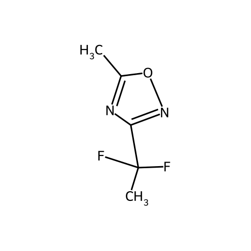 Cc1nc(C(C)(F)F)no1